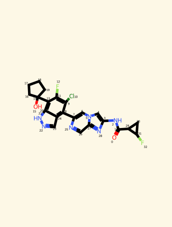 O=C(Nc1cn2cc(-c3c(Cl)c(F)c(C4(O)CCCC4)c4[nH]ncc34)ncc2n1)C1CC1F